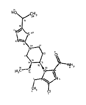 CCc1c(Cl)nc(C(N)=O)n1[C@@H]1CCN(c2nnc(C(C)O)s2)C[C@@H]1OC